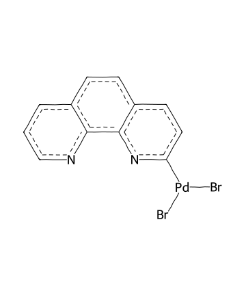 [Br][Pd]([Br])[c]1ccc2ccc3cccnc3c2n1